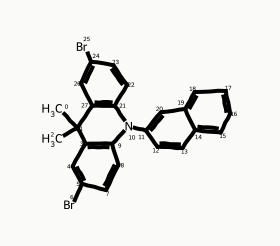 CC1(C)c2cc(Br)ccc2N(c2ccc3ccccc3c2)c2ccc(Br)cc21